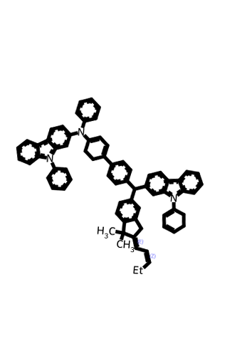 CC/C=C\C=C1/Cc2cc(C(c3ccc(C4=CC=C(N(c5ccccc5)c5ccc6c7ccccc7n(-c7ccccc7)c6c5)CC4)cc3)c3ccc4c5ccccc5n(C5=CC=CCC5)c4c3)ccc2C1(C)C